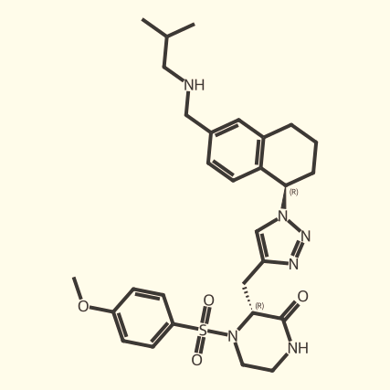 COc1ccc(S(=O)(=O)N2CCNC(=O)[C@H]2Cc2cn([C@@H]3CCCc4cc(CNCC(C)C)ccc43)nn2)cc1